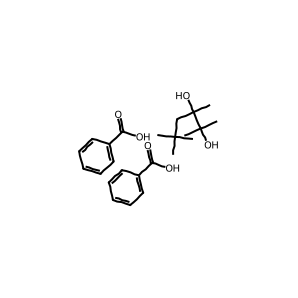 CC(C)(C)CC(C)(O)C(C)(C)O.O=C(O)c1ccccc1.O=C(O)c1ccccc1